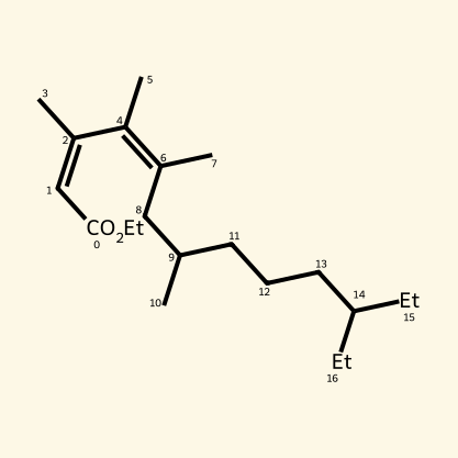 CCOC(=O)C=C(C)C(C)=C(C)CC(C)CCCC(CC)CC